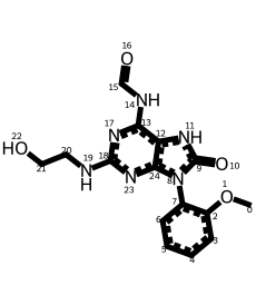 COc1ccccc1-n1c(=O)[nH]c2c(NC=O)nc(NCCO)nc21